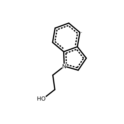 OCCn1ccc2[c]cccc21